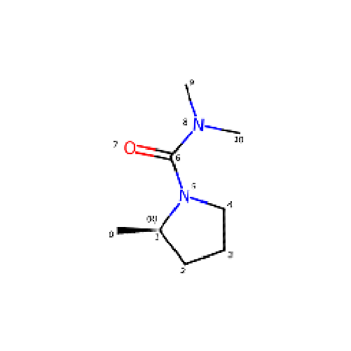 C[C@@H]1CCCN1C(=O)N(C)C